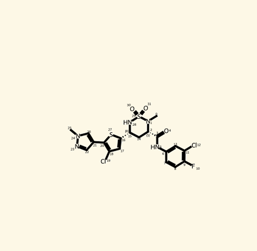 CN1[C@H](C(=O)Nc2ccc(F)c(Cl)c2)C[C@H](c2cc(Cl)c(-c3cnn(C)c3)s2)NS1(=O)=O